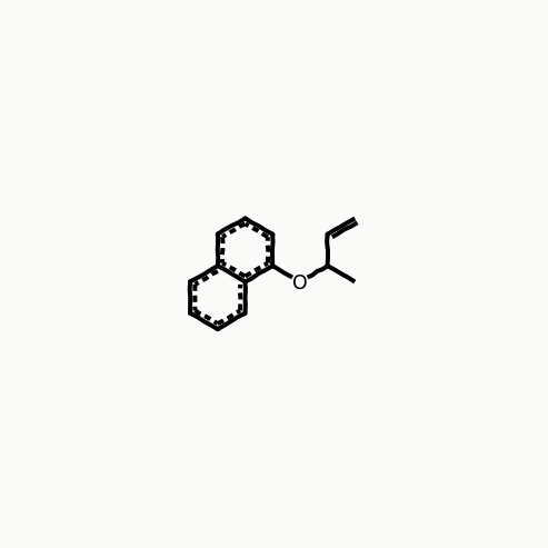 C=CC(C)Oc1cccc2ccccc12